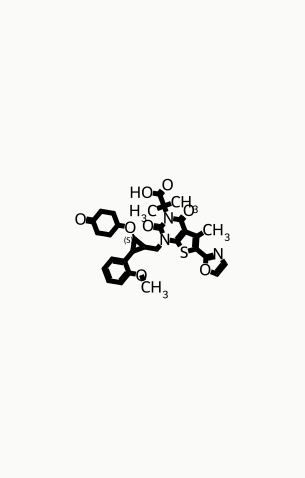 COc1ccccc1C1C(Cn2c(=O)n(C(C)(C)C(=O)O)c(=O)c3c(C)c(-c4ncco4)sc32)[C@H]1OC1CCC(=O)CC1